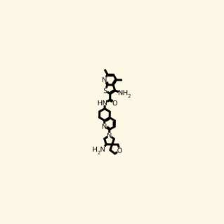 Cc1cc(C)c2c(N)c(C(=O)NC3CCc4nc(N5CC(N)C6(CCOC6)C5)ccc4C3)sc2n1